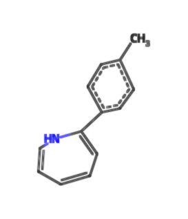 Cc1ccc(C2=CC=CC=CN2)cc1